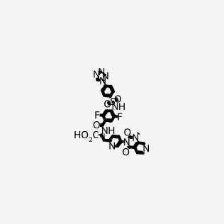 Cn1c(=O)n(-c2ccc(C[C@H](NC(=O)c3cc(F)c(NS(=O)(=O)c4ccc(-n5cnnn5)cc4)cc3F)C(=O)O)nc2)c(=O)c2ccncc21